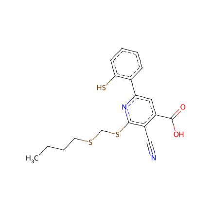 CCCCSCSc1nc(-c2ccccc2S)cc(C(=O)O)c1C#N